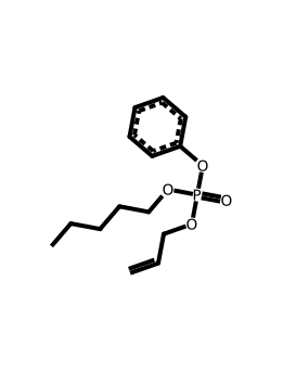 C=CCOP(=O)(OCCCCC)Oc1ccccc1